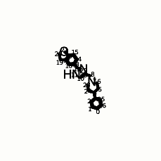 c1ccc(C2CCN(Cc3c[nH]c(-c4ccc5c(c4)CCO5)n3)CC2)cc1